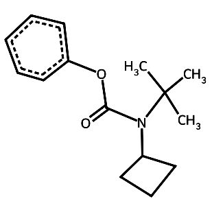 CC(C)(C)N(C(=O)Oc1ccccc1)C1CCC1